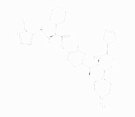 CCn1nccc1C(=O)N[C@H](C(=O)Nc1ccc([C@H](C)[C@@H](NC(=O)c2cccs2)C(=O)N2CCN(C)CC2)cc1F)C1CCCCC1